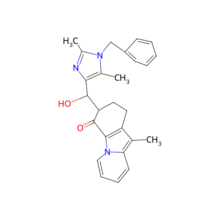 Cc1c2c(n3ccccc13)C(=O)C(C(O)c1nc(C)n(Cc3ccccc3)c1C)CC2